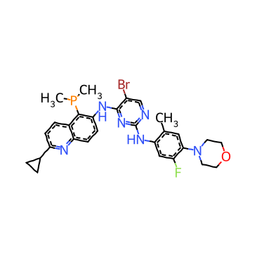 Cc1cc(N2CCOCC2)c(F)cc1Nc1ncc(Br)c(Nc2ccc3nc(C4CC4)ccc3c2P(C)C)n1